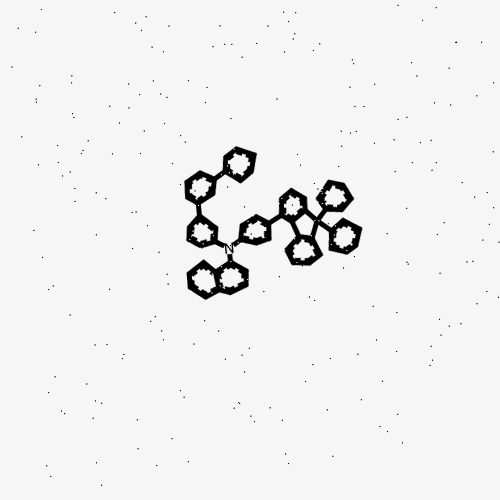 c1ccc(-c2cccc(-c3cccc(N(c4ccc(-c5cccc6c5-c5ccccc5C6(c5ccccc5)c5ccccc5)cc4)c4cccc5ccccc45)c3)c2)cc1